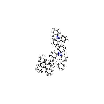 c1ccc(-c2cccc(N(c3cccc(-c4ccc5c(c4)c(-c4ccccc4)c(-c4ccccc4)c4ccccc45)c3)c3cccc(-c4cccc5c4c4ccccc4n5-c4ccccc4)c3)c2)cc1